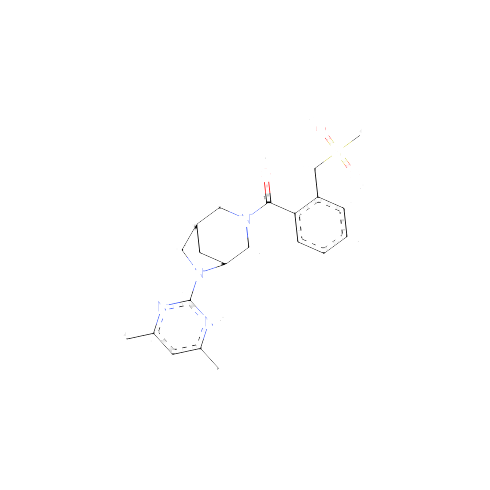 Cc1cc(C)nc(N2CC3CC2CN(C(=O)c2ccccc2CS(C)(=O)=O)C3)n1